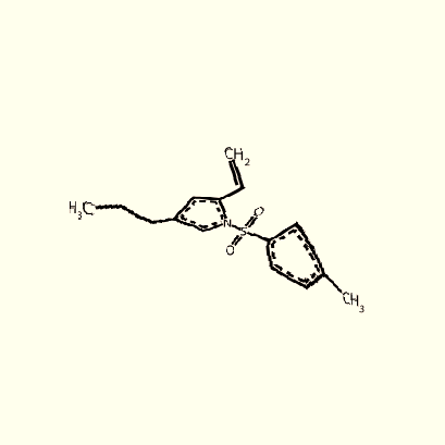 C=Cc1cc(CCC)cn1S(=O)(=O)c1ccc(C)cc1